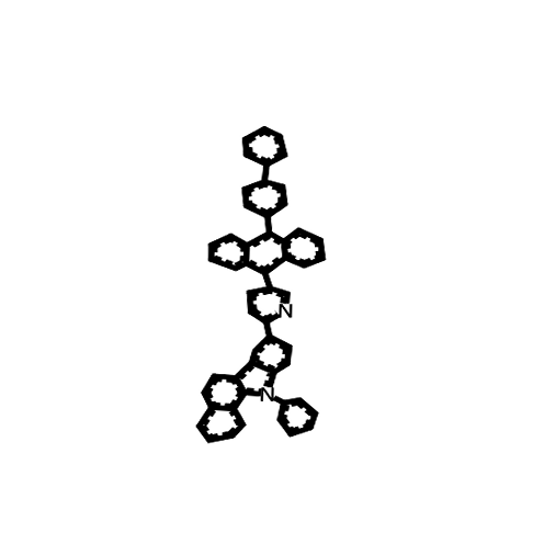 c1ccc(-c2ccc(-c3c4ccccc4c(-c4ccc(-c5ccc6c(c5)c5ccc7ccccc7c5n6-c5ccccc5)nc4)c4ccccc34)cc2)cc1